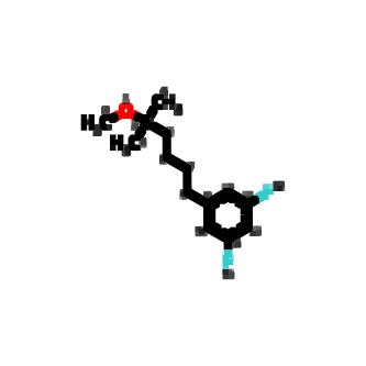 CO[Si](C)(C)CCCCc1cc(F)cc(F)c1